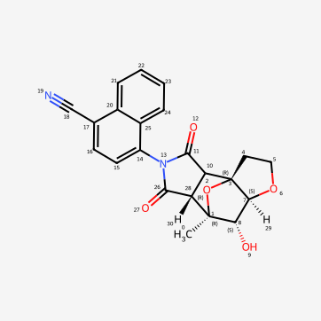 C[C@]12O[C@]3(CCO[C@H]3[C@@H]1O)C1C(=O)N(c3ccc(C#N)c4ccccc34)C(=O)[C@H]12